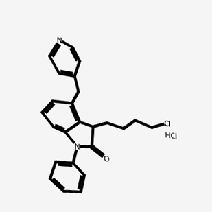 Cl.O=C1C(CCCCCl)c2c(Cc3ccncc3)cccc2N1c1ccccc1